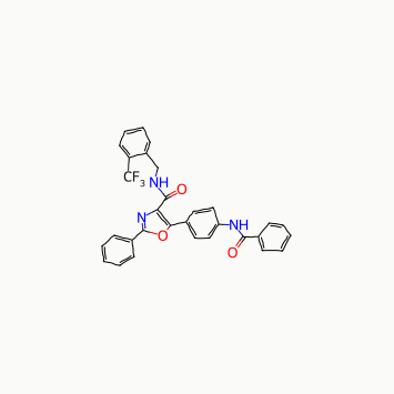 O=C(Nc1ccc(-c2oc(-c3ccccc3)nc2C(=O)NCc2ccccc2C(F)(F)F)cc1)c1ccccc1